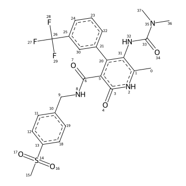 Cc1[nH]c(=O)c(C(=O)NCc2ccc(S(C)(=O)=O)cc2)c(-c2cccc(C(F)(F)F)c2)c1NC(=O)N(C)C